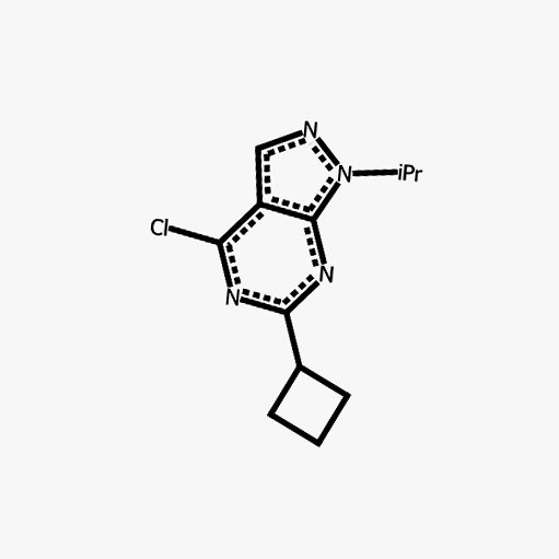 CC(C)n1ncc2c(Cl)nc(C3CCC3)nc21